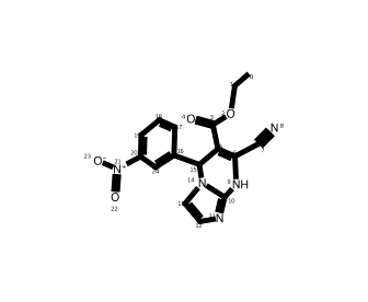 CCOC(=O)C1=C(C#N)Nc2nccn2C1c1cccc([N+](=O)[O-])c1